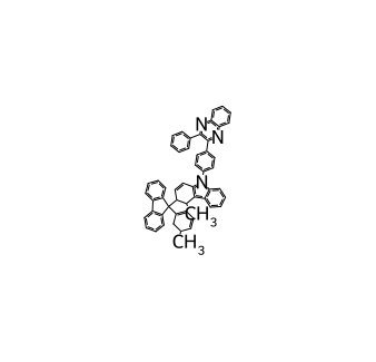 CC1C=CC=C(C2(C3C=Cc4c(c5ccccc5n4-c4ccc(-c5nc6ccccc6nc5-c5ccccc5)cc4)C3C)c3ccccc3-c3ccccc32)C1